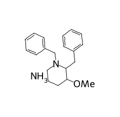 COC1CCCN(Cc2ccccc2)C1Cc1ccccc1.N